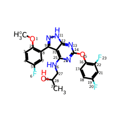 COc1ccc(F)cc1-c1n[nH]c2nc(Oc3ccc(F)cc3F)nc(NCC(C)O)c12